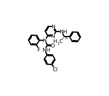 C[C@H](Nc1nccc(N(C(=O)Nc2ccc(Cl)cc2)c2ccccc2F)n1)c1ccccc1